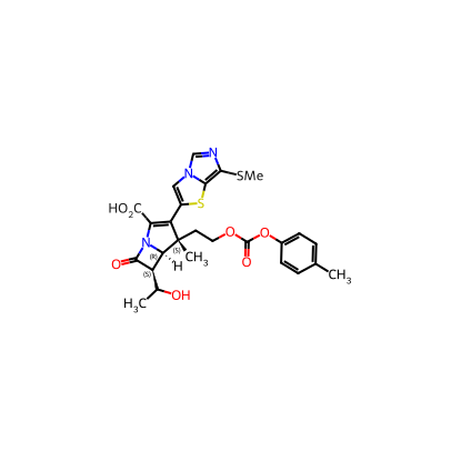 CSc1ncn2cc(C3=C(C(=O)O)N4C(=O)[C@H](C(C)O)[C@@H]4[C@@]3(C)CCOC(=O)Oc3ccc(C)cc3)sc12